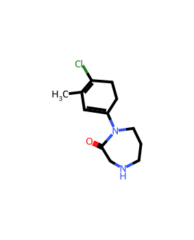 CC1=C(Cl)CCC(N2CCCNCC2=O)=C1